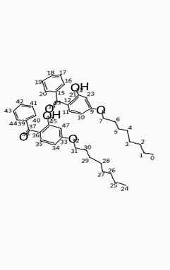 CCCCCCCCOc1ccc(C(=O)c2ccccc2)c(O)c1.CCCCCCCCOc1ccc(C(=O)c2ccccc2)c(O)c1